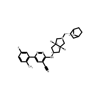 Cc1ccc(F)cc1-c1cc(C#N)c(N[C@H]2C[C@@H]3CN(C[C@H]4CC5CCC4O5)C[C@@H]3C2)nn1